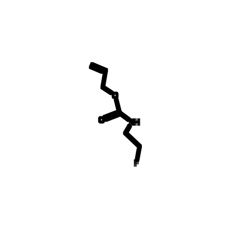 C=CCOC(=O)NCCF